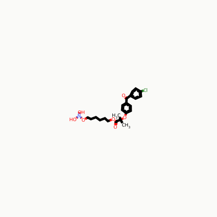 CC(C)(Oc1ccc(C(=O)c2ccc(Cl)cc2)cc1)C(=O)OCCCCCCON(O)O